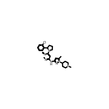 C=N/C(=C\C(=N/C)Nc1cc(C)n(C2CCN(C)CC2)n1)N1CCCC1c1ccccc1Cl